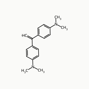 [CH]=C(c1ccc(N(C)C)cc1)c1ccc(N(C)C)cc1